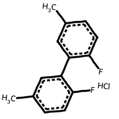 Cc1ccc(F)c(-c2cc(C)ccc2F)c1.Cl